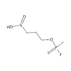 CP(=O)(F)OCCCS(=O)O